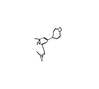 Cc1cc(C2CCOCC2)cc(CN(C)C)n1